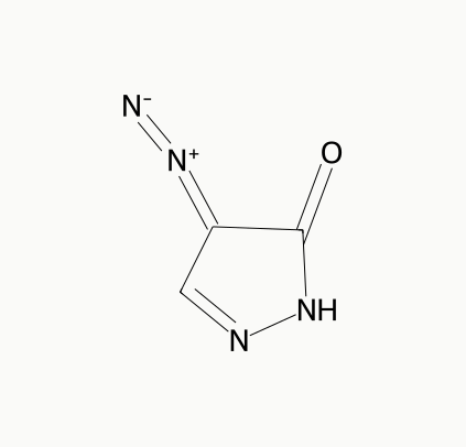 [N-]=[N+]=C1C=NNC1=O